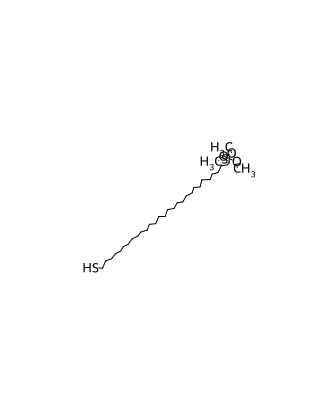 CO[Si](CCCCCCCCCCCCCCCCCCCCCCCCCCCCCS)(OC)OC